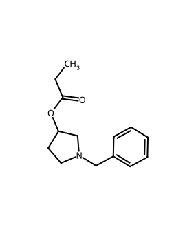 CCC(=O)OC1CCN(Cc2ccccc2)C1